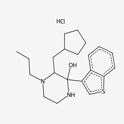 CCCN1CCNC(O)(c2csc3ccccc23)C1CC1CCCC1.Cl